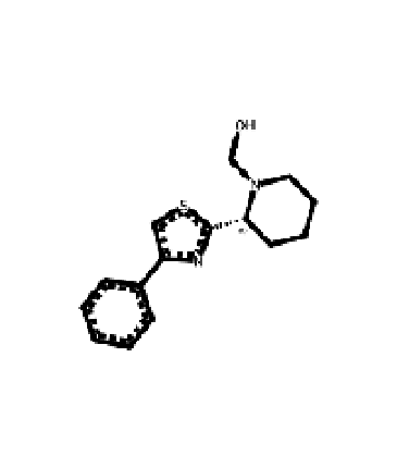 OCN1CCCC[C@@H]1c1nc(-c2ccccc2)cs1